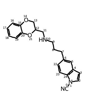 N#Cn1ccc2cc(CCCNCC3COc4ccccc4O3)ccc21